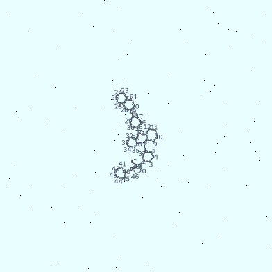 C1=C(c2cccc(-c3c4ccccc4c(-c4ccc(-c5ccc6ccccc6c5)cc4)c4ccccc34)c2)SC(c2ccccc2)C1